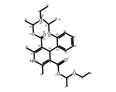 CCOC(C)OC(=O)C1=C(C)NC(C)=C(C(=O)OC(C)OCC)C1c1ccccc1OC(F)F